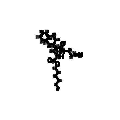 CCCCCCOC(=O)NCC(C(=O)NCCC#N)c1ccc2ccccc2c1